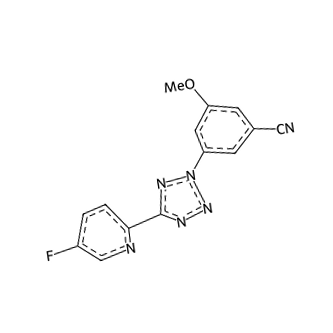 COc1cc(C#N)cc(-n2nnc(-c3ccc(F)cn3)n2)c1